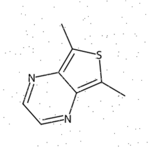 Cc1sc(C)c2nccnc12